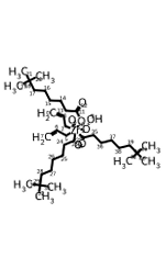 C=C[CH2][Zr](=[O])([CH2]C=C)([O]O)([O]C(=O)CCCCCC(C)(C)C)([C](=O)CCCCCC(C)(C)C)[C](=O)CCCCCC(C)(C)C